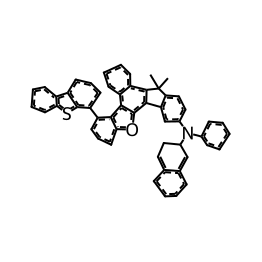 CC1(C)c2ccc(N(c3ccccc3)C3C=c4ccccc4=CC3)cc2-c2c1c1ccccc1c1c2oc2cccc(-c3cccc4c3sc3ccccc34)c21